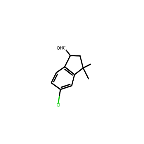 CC1(C)CC(C=O)c2ccc(Cl)cc21